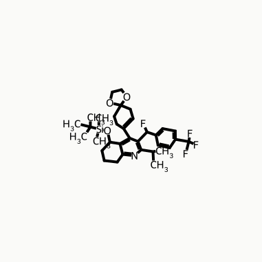 CC(C)c1nc2c(c(C3=CCC4(CC3)OCCO4)c1C(F)c1ccc(C(F)(F)F)cc1)C(O[Si](C)(C)C(C)(C)C)CCC2